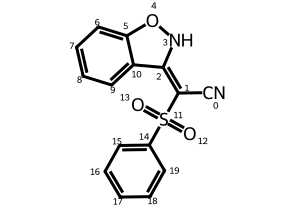 N#CC(=C1NOc2ccccc21)S(=O)(=O)c1ccccc1